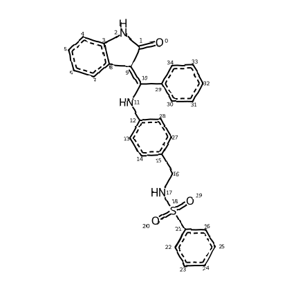 O=C1Nc2ccccc2C1=C(Nc1ccc(CNS(=O)(=O)c2ccccc2)cc1)c1ccccc1